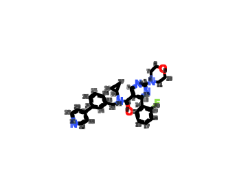 O=C(c1cnc(N2CCOCC2)nc1-c1ccccc1F)N(Cc1cccc(-c2ccncc2)c1)C1CC1